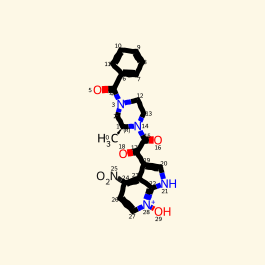 C[C@@H]1CN(C(=O)c2ccccc2)CCN1C(=O)C(=O)c1c[nH]c2c1c([N+](=O)[O-])cc[n+]2O